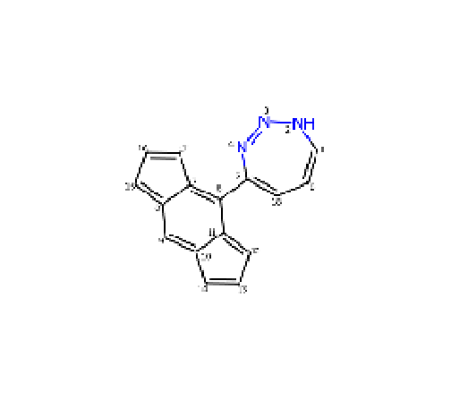 C1=CNN=NC(c2c3c(cc4c2=CC=C4)=CC=C3)=C1